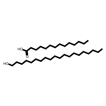 CCCCCCCCCCCCCC(=O)O.CCCCCCCCCCCCCCCCCCCCO